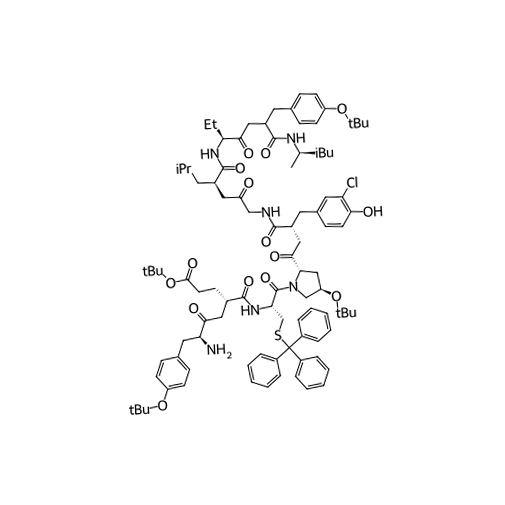 CCC(C)[C@@H](C)NC(=O)C(CC(=O)[C@H](CC)NC(=O)[C@@H](CC(=O)CNC(=O)[C@@H](CC(=O)[C@@H]1C[C@@H](OC(C)(C)C)CN1C(=O)[C@H](CSC(c1ccccc1)(c1ccccc1)c1ccccc1)NC(=O)[C@@H](CCC(=O)OC(C)(C)C)CC(=O)[C@@H](N)Cc1ccc(OC(C)(C)C)cc1)Cc1ccc(O)c(Cl)c1)CC(C)C)Cc1ccc(OC(C)(C)C)cc1